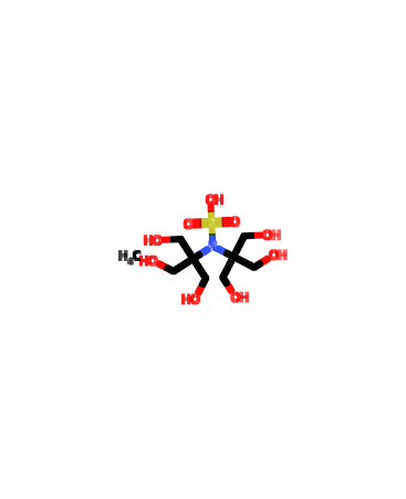 C.O=S(=O)(O)N(C(CO)(CO)CO)C(CO)(CO)CO